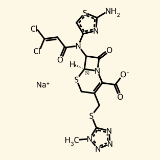 Cn1nnnc1SCC1=C(C(=O)[O-])N2C(=O)C(N(C(=O)C=C(Cl)Cl)c3csc(N)n3)[C@@H]2SC1.[Na+]